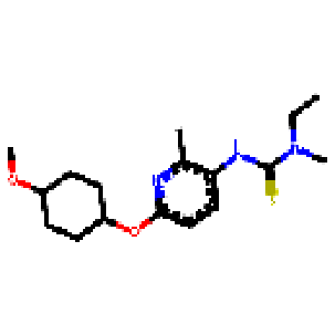 CCN(C)C(=S)Nc1ccc(OC2CCC(OC)CC2)nc1C